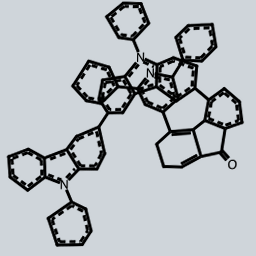 O=C1C2=CCCC(c3cc(-c4ccccc4)nc(-c4ccccc4)c3)=C2c2c1cccc2-c1ccc2c(c1)c1cc(-c3ccc4c(c3)c3ccccc3n4-c3ccccc3)ccc1n2-c1ccccc1